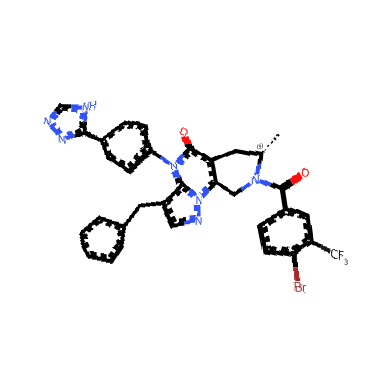 C[C@H]1Cc2c(n3ncc(Cc4ccccc4)c3n(-c3ccc(-c4nnc[nH]4)cc3)c2=O)CN1C(=O)c1ccc(Br)c(C(F)(F)F)c1